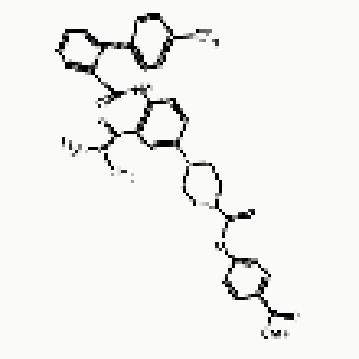 COC(=O)c1ccc(OC(=O)C2CCN(c3ccc(NC(=O)c4ccccc4-c4ccc(C(F)(F)F)cc4)c(C(=O)N(C)C)c3)CC2)cc1